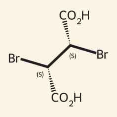 O=C(O)[C@H](Br)[C@@H](Br)C(=O)O